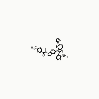 Cc1ccc(C(=O)N[C@H]2CCc3cc(-n4c(-c5cccnc5N)nc5ccc(-n6cccn6)nc54)ccc32)cn1